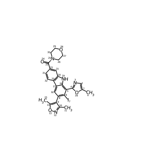 Cc1cnc(-c2c(I)c(-c3c(C)noc3C)cc3c2[nH]c2cc(C(=O)N4CCOCC4)ccc23)o1